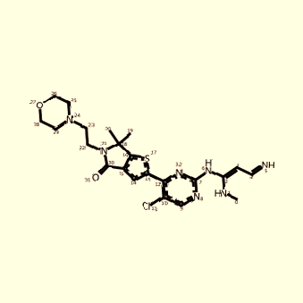 CN/C(=C\C=N)Nc1ncc(Cl)c(-c2cc3c(s2)C(C)(C)N(CCN2CCOCC2)C3=O)n1